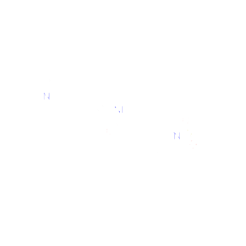 CS(=O)(=O)N1CC2(CCC(C(=O)Nc3ccc(-c4cccnc4)cc3)CC2)c2ccccc21